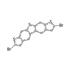 Brc1cc2cc3c(cc2s1)sc1cc2sc(Br)cc2cc13